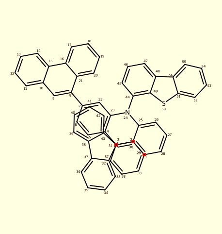 c1ccc(-c2ccc(-c3cc4ccccc4c4ccccc34)cc2N(c2ccccc2-n2c3ccccc3c3ccccc32)c2cccc3c2sc2ccccc23)cc1